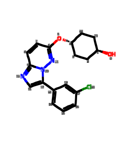 O[C@H]1CC[C@H](Oc2ccc3ncc(-c4cccc(Cl)c4)n3n2)CC1